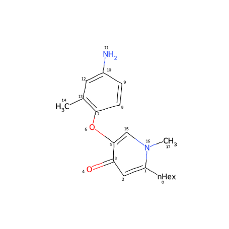 CCCCCCc1cc(=O)c(Oc2ccc(N)cc2C)cn1C